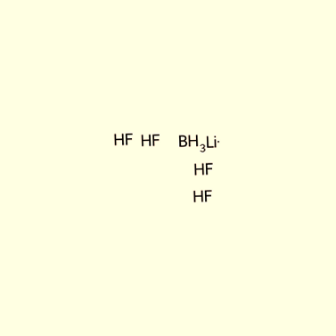 B.F.F.F.F.[Li]